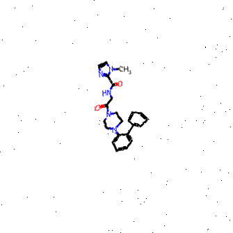 Cn1ccnc1C(=O)NCC(=O)N1CCN(c2ccccc2-c2ccccc2)CC1